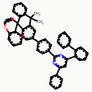 CC1(C)c2ccccc2C2(c3ccccc3Oc3ccccc32)c2ccc(-c3ccc(-c4nc(-c5ccccc5)cc(-c5ccccc5-c5ccccc5)n4)cc3)cc21